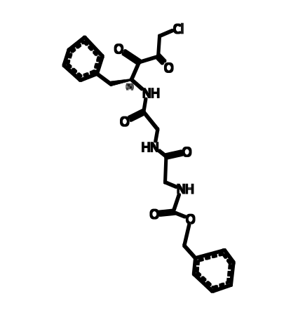 O=C(CNC(=O)OCc1ccccc1)NCC(=O)N[C@@H](Cc1ccccc1)C(=O)C(=O)CCl